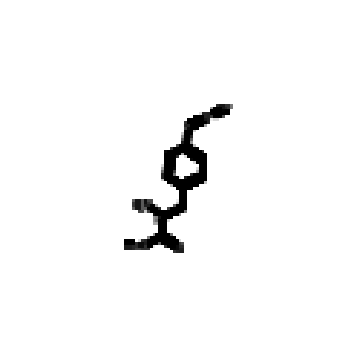 COC(=O)[C@@H](N)Cc1ccc(N=[N+]=[N-])cc1